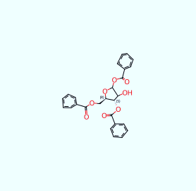 O=C(OC[C@H]1OC(OC(=O)c2ccccc2)C(O)[C@@H]1OC(=O)c1ccccc1)c1ccccc1